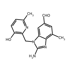 Cc1ccc(O)c(Cn2c(N)nc3c(C)cc(C=O)cc32)n1